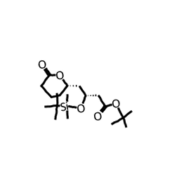 CC(C)(C)OC(=O)C[C@@H](C[C@@H]1CCCC(=O)O1)O[Si](C)(C)C(C)(C)C